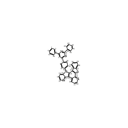 c1ccc(-c2cc(-c3ccc(-n4c5cccnc5c5c6cccnc6c6sc7ccccc7c6c54)cc3)nc(-c3ccccc3)n2)cc1